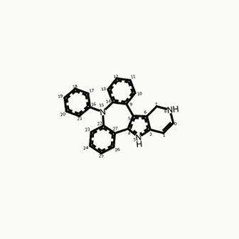 C1=Cc2[nH]c3c(c2CN1)-c1ccccc1N(c1ccccc1)c1ccccc1-3